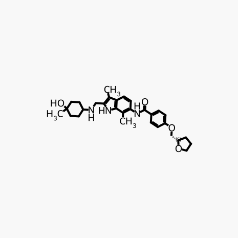 Cc1c(CNC2CCC(C)(O)CC2)[nH]c2c(C)c(NC(=O)c3ccc(OC[C@@H]4CCCO4)cc3)ccc12